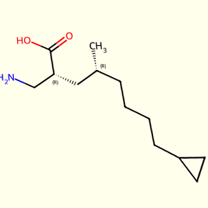 C[C@H](CCCCC1CC1)C[C@H](CN)C(=O)O